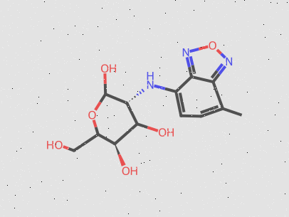 Cc1ccc(N[C@H]2C(O)OC(CO)[C@H](O)C2O)c2nonc12